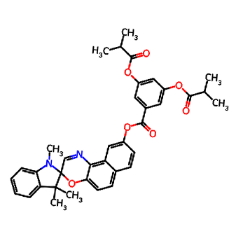 CC(C)C(=O)Oc1cc(OC(=O)C(C)C)cc(C(=O)Oc2ccc3ccc4c(c3c2)N=CC2(O4)N(C)c3ccccc3C2(C)C)c1